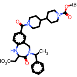 CC(c1ccccc1)N1Cc2cc(C(=O)N3CCC(C4CCN(C(=O)OC(C)(C)C)CC4)CC3)ccc2NC(CC(=O)O)C1=O